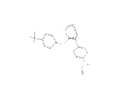 C=C[S+]([O-])c1ccc(-c2cccnc2Oc2ccc(C(F)(F)F)cc2)cc1